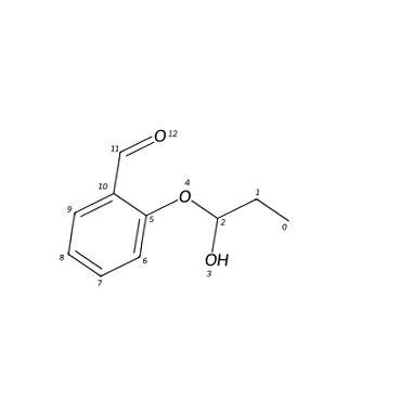 CCC(O)Oc1ccccc1C=O